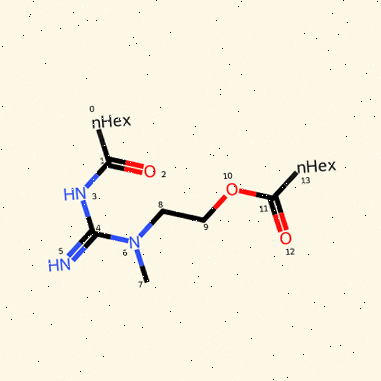 CCCCCCC(=O)NC(=N)N(C)CCOC(=O)CCCCCC